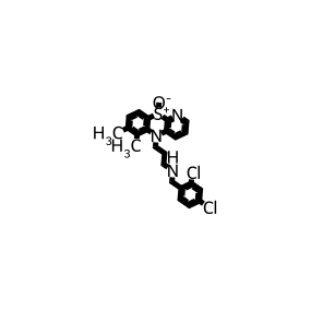 Cc1ccc2c(c1C)N(CCCNCc1ccc(Cl)cc1Cl)c1cccnc1[S+]2[O-]